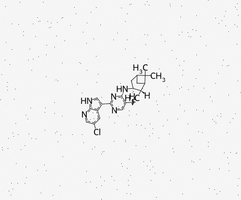 C[C@H]1C2CC(C[C@@H]1Nc1nc(-c3c[nH]c4ncc(Cl)cc34)ncc1F)C2(C)C